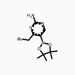 CCC(C)Cc1nc(N)ncc1B1OC(C)(C)C(C)(C)O1